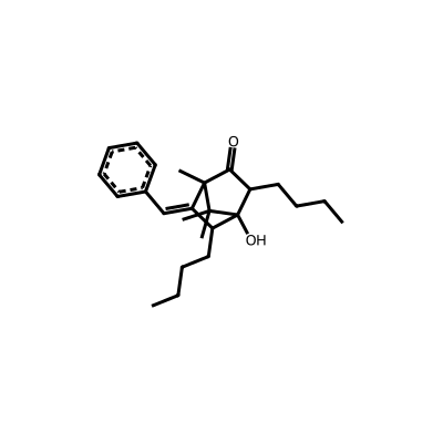 CCCCC1C(=O)C2(C)C(=Cc3ccccc3)C(CCCC)C1(O)C2(C)C